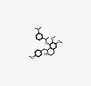 COc1ccc(CC2NCCc3cc(OC)c(OC)c(OC(C)c4cccc(N(C)C)c4)c32)cc1